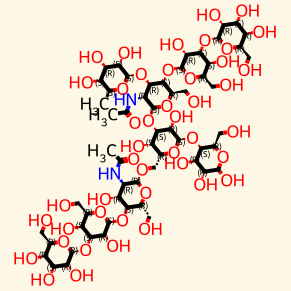 CC(=O)N[C@H]1[C@H](OC[C@H]2O[C@@H](O[C@H]3[C@H](O)[C@@H](O)C(O)O[C@@H]3CO)[C@H](O)[C@@H](O[C@@H]3O[C@H](CO)[C@@H](O[C@@H]4O[C@H](CO)[C@H](O)[C@H](O[C@H]5O[C@H](CO)[C@H](O)[C@H](O)[C@H]5O)[C@H]4O)[C@H](O[C@@H]4O[C@@H](C)[C@@H](O)[C@@H](O)[C@@H]4O)[C@H]3NC(C)=O)[C@H]2O)O[C@H](CO)[C@@H](O[C@@H]2O[C@H](CO)[C@H](O)[C@H](O[C@H]3O[C@H](CO)[C@H](O)[C@H](O)[C@H]3O)[C@H]2O)[C@@H]1O